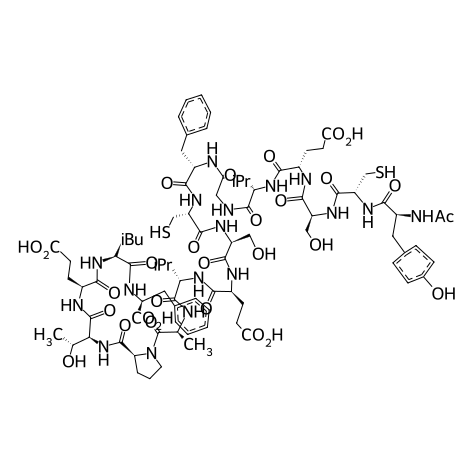 CC[C@H](C)[C@H](NC(=O)[C@H](CCC(=O)O)NC(=O)[C@@H](NC(=O)[C@@H]1CCCN1C(=O)[C@H](C)NC(=O)[C@@H](NC(=O)[C@H](CCC(=O)O)NC(=O)[C@H](CO)NC(=O)[C@H](CS)NC(=O)[C@H](Cc1ccccc1)NC(=O)CNC(=O)[C@@H](NC(=O)[C@H](CCC(=O)O)NC(=O)[C@H](CO)NC(=O)[C@H](CS)NC(=O)[C@H](Cc1ccc(O)cc1)NC(C)=O)C(C)C)C(C)C)[C@@H](C)O)C(=O)N[C@@H](Cc1ccccc1)C(=O)O